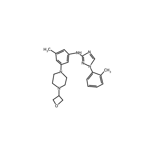 Cc1cc(Nc2ncn(-c3ccccc3C)n2)cc(N2CCN(C3COC3)CC2)c1